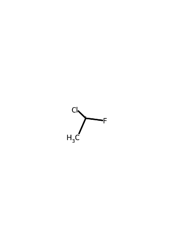 C[C](F)Cl